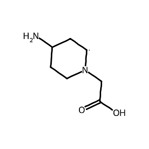 NC1C[CH]N(CC(=O)O)CC1